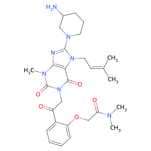 CC(C)=CCn1c(N2CCCC(N)C2)nc2c1c(=O)n(CC(=O)c1ccccc1OCC(=O)N(C)C)c(=O)n2C